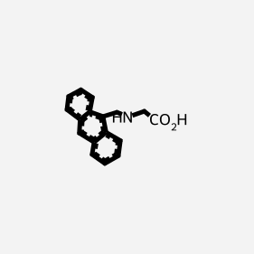 O=C(O)CNCc1c2ccccc2cc2ccccc12